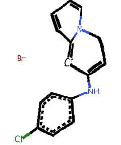 Clc1ccc(NC2=CCN3C=CC=CC3=[C+]2)cc1.[Br-]